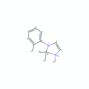 Cc1ccccc1N1C=CN(C)C1(C)C